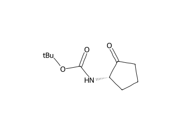 CC(C)(C)OC(=O)N[C@H]1CCCC1=O